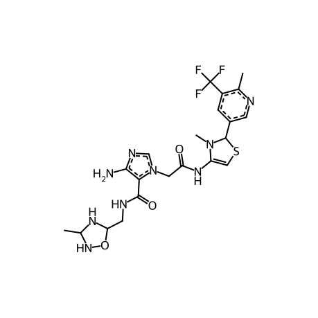 Cc1ncc(C2SC=C(NC(=O)Cn3cnc(N)c3C(=O)NCC3NC(C)NO3)N2C)cc1C(F)(F)F